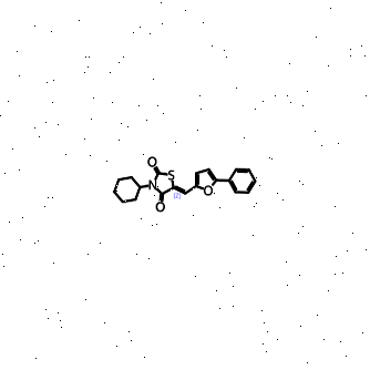 O=C1S/C(=C\c2ccc(-c3ccccc3)o2)C(=O)N1C1CCCCC1